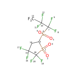 O=S1(=O)C(S(=O)(=O)C(F)(F)C(F)(F)C(F)(F)F)CC(F)(F)C1(F)F